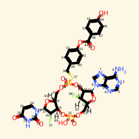 Nc1ncnc2c1ncn2[C@@H]1O[C@@H]2COP(=O)(O)O[C@H]3[C@@H](F)[C@H](n4ccc(=O)[nH]c4=O)O[C@@H]3COP(=O)(SCc3ccc(OC(=O)c4ccc(O)cc4)cc3)O[C@@H]1[C@@H]2F